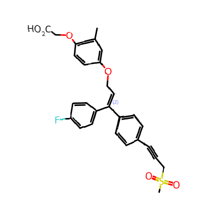 Cc1cc(OC/C=C(\c2ccc(F)cc2)c2ccc(C#CCS(C)(=O)=O)cc2)ccc1OCC(=O)O